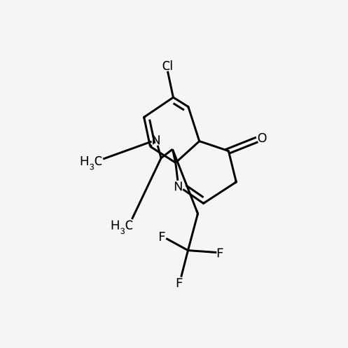 CC1C(CC(F)(F)F)C23N=CCC(=O)C2C=C(Cl)C=C3N1C